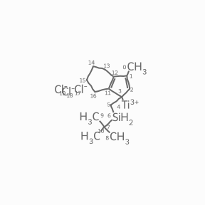 CC1=C[C]([Ti+3])(C[SiH2]C(C)(C)C)C2=C1CCCC2.[Cl-].[Cl-].[Cl-]